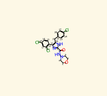 O=C(NN1CCOCC1)c1nc(-c2ccc(Cl)cc2Cl)c(Cc2ccc(Cl)cc2)[nH]1